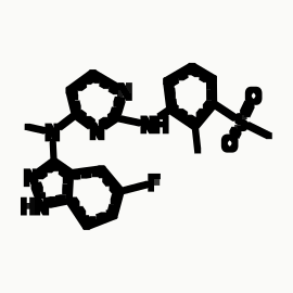 Cc1c(Nc2nccc(N(C)c3n[nH]c4ccc(F)cc34)n2)cccc1S(C)(=O)=O